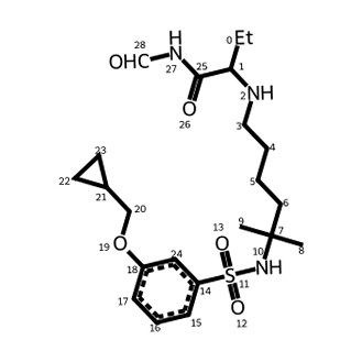 CCC(NCCCCC(C)(C)NS(=O)(=O)c1cccc(OCC2CC2)c1)C(=O)NC=O